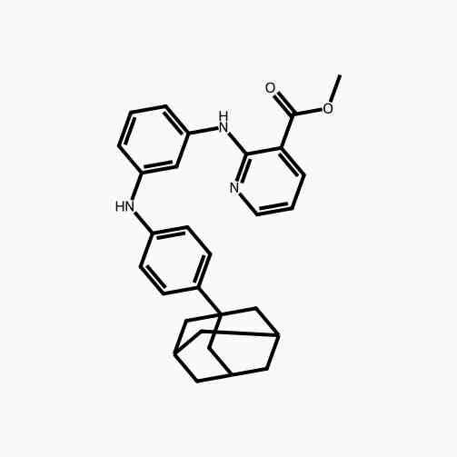 COC(=O)c1cccnc1Nc1cccc(Nc2ccc(C34CC5CC(CC(C5)C3)C4)cc2)c1